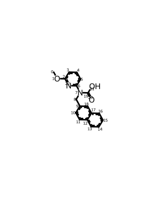 COc1cccc(N(Cc2ccc3ccccc3c2)C(=O)O)n1